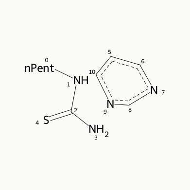 CCCCCNC(N)=S.c1cncnc1